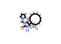 CC1(C2CCCCCCCCCCC2)NC(=O)N(CN2CCCC2)C1=O